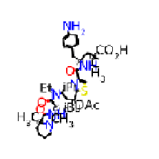 CC[C@H](C)[C@H](NC(=O)[C@@]1(C)CCCCN1C)C(=O)N(CC)C(C[C@@H](OC(C)=O)c1nc(C(=O)N[C@@H](Cc2ccc(N)cc2)C[C@H](C)C(=O)O)cs1)C(C)C